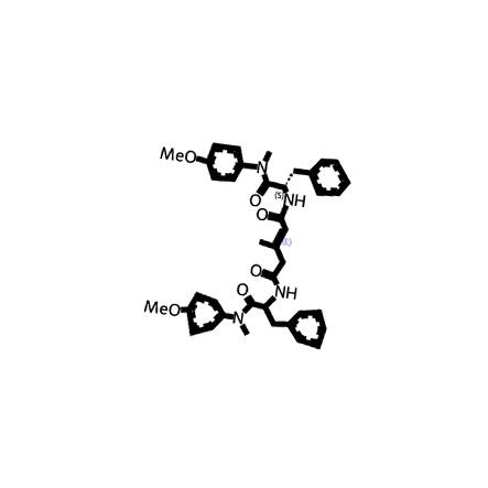 COc1ccc(N(C)C(=O)C(Cc2ccccc2)NC(=O)C/C(C)=C/C(=O)N[C@@H](Cc2ccccc2)C(=O)N(C)c2ccc(OC)cc2)cc1